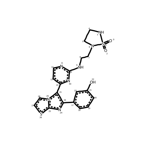 O=S1(=O)NCCN1CCNc1nccc(-c2c(-c3cccc(O)c3)nc3sccn23)n1